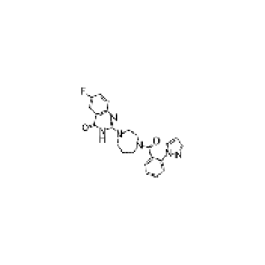 O=C(c1ccccc1-n1cccn1)N1CCCN(c2nc3ccc(F)cc3c(=O)[nH]2)CC1